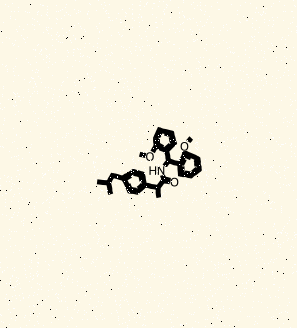 COc1ccccc1C(NC(=O)C(C)c1ccc(CC(C)C)cc1)c1ccccc1OC